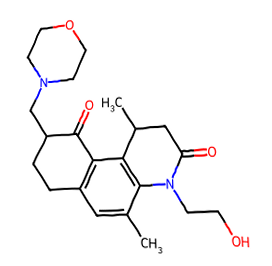 Cc1cc2c(c3c1N(CCO)C(=O)CC3C)C(=O)C(CN1CCOCC1)CC2